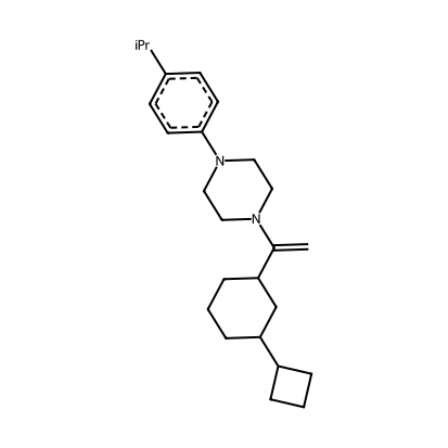 C=C(C1CCCC(C2CCC2)C1)N1CCN(c2ccc(C(C)C)cc2)CC1